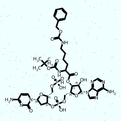 CC(C)(C)OC(=O)NC(CCCCNC(=O)OCc1ccccc1)C(=O)O[C@H]1[C@@H](O)[C@H](n2cnc3c(N)ncnc32)O[C@@H]1COP(=O)(O)O[C@H]1C[C@H](n2ccc(N)nc2=O)O[C@@H]1COP(=O)(O)O